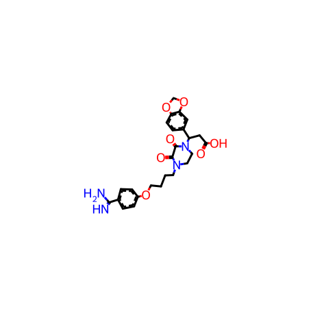 N=C(N)c1ccc(OCCCCN2CCN(C(CC(=O)O)c3ccc4c(c3)OCO4)C(=O)C2=O)cc1